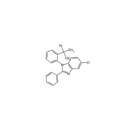 [2H]C(C)(C)c1ccccc1-n1c(-c2ccccc2)nc2cc(Cl)ccc21